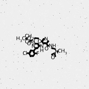 CN(CCNC(=O)c1cnccc1Nc1cc(-c2cc(Cl)ccc2F)nc2c1OCCN2C(=O)OC(C)(C)C)C1COC1